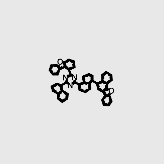 c1ccc2c(-c3nc(-c4cccc5c(-c6cc7c8ccccc8oc7c7ccccc67)cccc45)nc(-c4cccc5oc6ccccc6c45)n3)cccc2c1